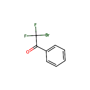 O=C(c1ccccc1)C(F)(F)Br